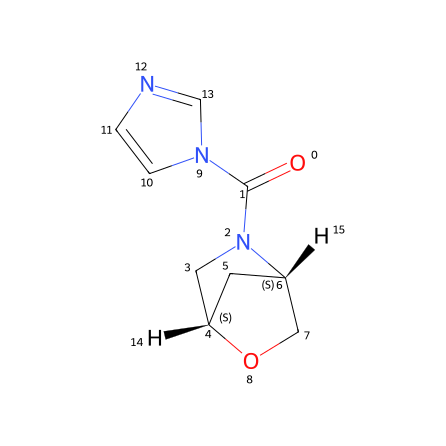 O=C(N1C[C@@H]2C[C@H]1CO2)n1ccnc1